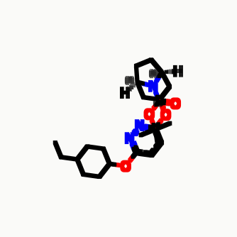 CCC1CCC(Oc2ccc(O[C@H]3C[C@H]4CC[C@@H](C3)N4C(=O)OC(C)(C)C)nn2)CC1